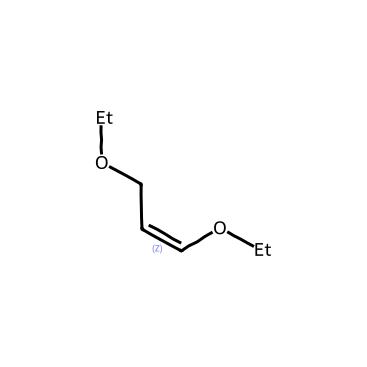 CCO/C=C\COCC